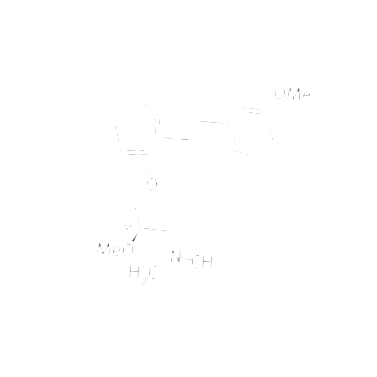 [CH2]O[C@@H](COc1ccccc1CCc1cccc(OC)c1)CN(C)C